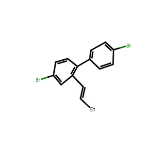 CC/C=C/c1cc(Br)ccc1-c1ccc(Br)cc1